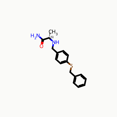 C[C@H](NCc1ccc(SCc2ccccc2)cc1)C(N)=O